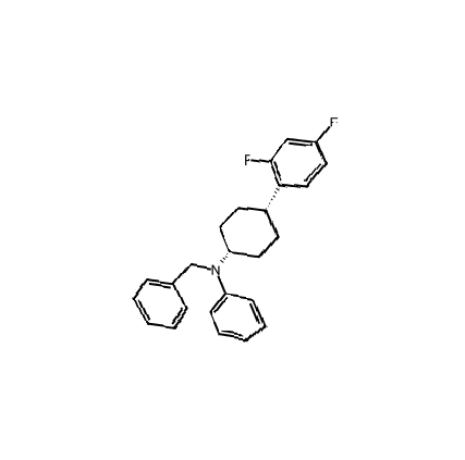 Fc1ccc([C@H]2CC[C@@H](N(Cc3ccccc3)c3ccccc3)CC2)c(F)c1